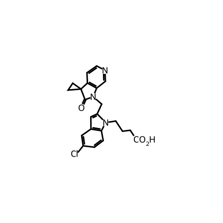 O=C(O)CCCn1c(CN2C(=O)C3(CC3)c3ccncc32)cc2cc(Cl)ccc21